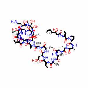 C=C(NC(=O)[C@@H](NC(=O)[C@@H](NC(=O)[C@H](CCO)NC(=O)/C(=C/C)NC(=O)[C@@H](NC(=O)[C@@H](NC(=O)[C@H](C)NC(=O)[C@H](C)NC(=O)[C@H](C)NC(=O)[C@@H]1CCCN1C(=O)/C(=C/C)NC(=O)CC(O)C/C=C\CCCC)C(C)C)C(C)C)C(C)C)[C@H](C)CC)C(=O)N[C@@H](C)C(=O)N[C@@H](C)C(=O)N[C@@H](C)C(=O)N[C@H](C(=O)N/C(=C\C)C(=O)N[C@@H]1C(O)=N[C@@H](C)C(O)=N[C@@H](CCN)C(O)=N[C@@H](CO)C(O)=N[C@@H]([C@@H](C)CC)C(=O)O[C@H]1C)C(C)C